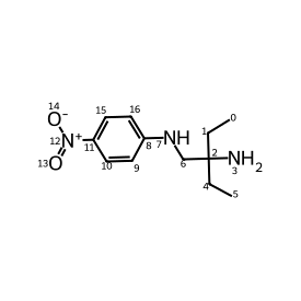 CCC(N)(CC)CNc1ccc([N+](=O)[O-])cc1